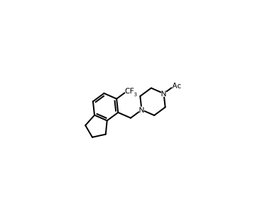 CC(=O)N1CCN(Cc2c(C(F)(F)F)ccc3c2CCC3)CC1